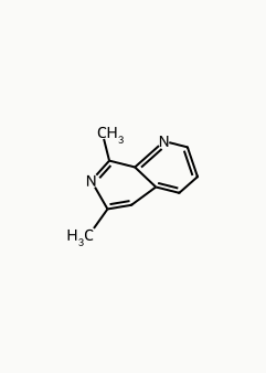 Cc1cc2cccnc2c(C)n1